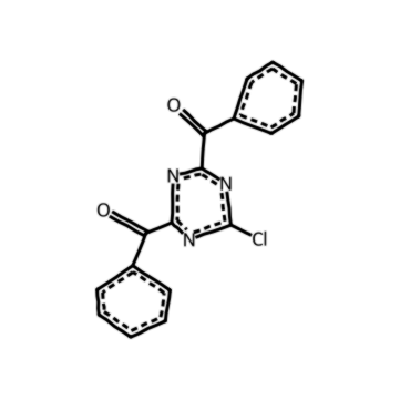 O=C(c1ccccc1)c1nc(Cl)nc(C(=O)c2ccccc2)n1